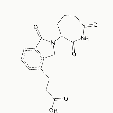 O=C(O)CCc1cccc2c1CN(C1CCCC(=O)NC1=O)C2=O